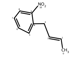 CC=CCc1ccccc1[N+](=O)[O-]